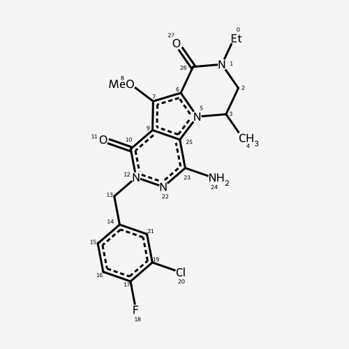 CCN1CC(C)n2c(c(OC)c3c(=O)n(Cc4ccc(F)c(Cl)c4)nc(N)c32)C1=O